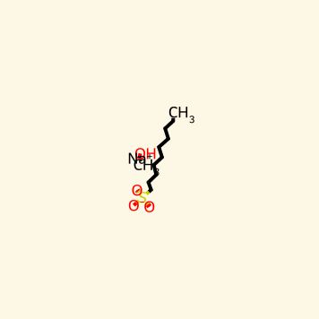 CCCCCCCCCCS(=O)(=O)[O-].CO.[Na+]